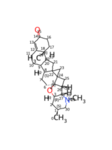 C[C@H]1C[C@H]2O[C@@]34CC[C@H]5C6CCC7=CC(=O)CC[C@]7(C)[C@H]6CC56CC63C[C@@H]4[C@@H]2N(C)C1